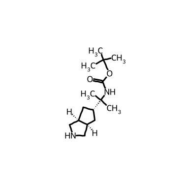 CC(C)(C)OC(=O)NC(C)(C)[C@@H]1C[C@H]2CNC[C@H]2C1